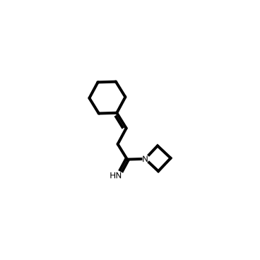 N=C(CC=C1CCCCC1)N1CCC1